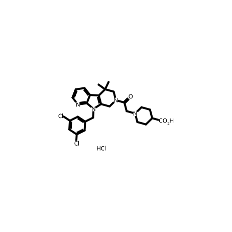 CC1(C)CN(C(=O)CN2CCC(C(=O)O)CC2)Cc2c1c1cccnc1n2Cc1cc(Cl)cc(Cl)c1.Cl